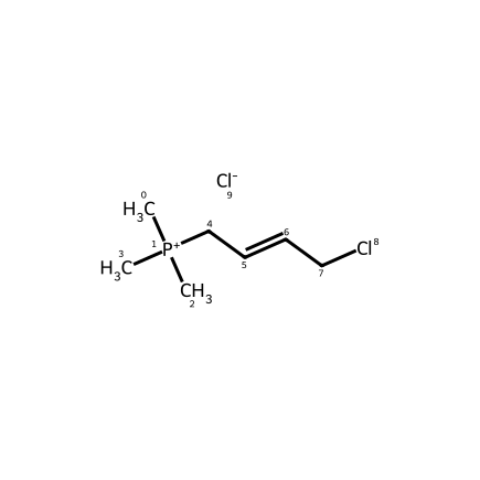 C[P+](C)(C)CC=CCCl.[Cl-]